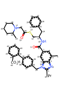 CCCc1nc2c(C)cc(C(=O)N[C@@H](CSC(=O)CN3CCCCC3C)Cc3ccccc3)cc2n1Cc1ccc(-c2ccccc2C(=O)O)cc1